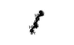 CC(C)c1ccc(CCNc2ncnc3cc(OCC4CCN(CCNc5ccnc6ccccc56)CC4)ccc23)cc1